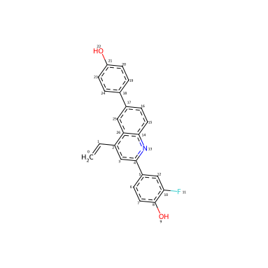 C=Cc1cc(-c2ccc(O)c(F)c2)nc2ccc(-c3ccc(O)cc3)cc12